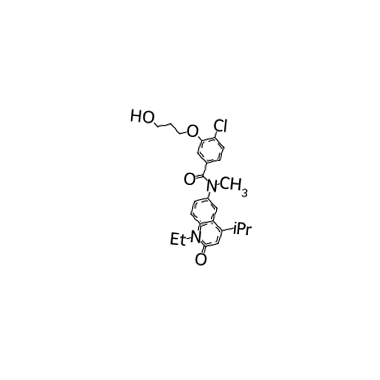 CCn1c(=O)cc(C(C)C)c2cc(N(C)C(=O)c3ccc(Cl)c(OCCCO)c3)ccc21